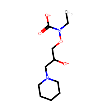 CCN(OCC(O)CN1CCCCC1)C(=O)O